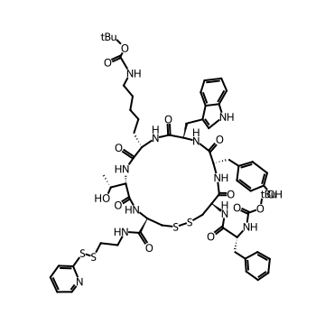 C[C@@H](O)[C@@H]1NC(=O)[C@H](CCCCCNC(=O)OC(C)(C)C)NC(=O)[C@@H](Cc2c[nH]c3ccccc23)NC(=O)[C@H](Cc2ccc(O)cc2)NC(=O)[C@@H](NC(=O)[C@@H](Cc2ccccc2)NC(=O)OC(C)(C)C)CSSC[C@@H](C(=O)NCCSSc2ccccn2)NC1=O